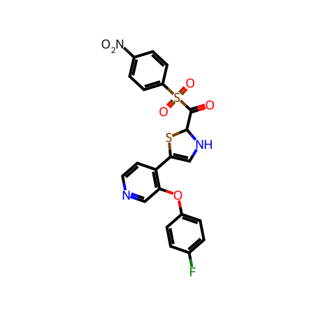 O=C(C1NC=C(c2ccncc2Oc2ccc(F)cc2)S1)S(=O)(=O)c1ccc([N+](=O)[O-])cc1